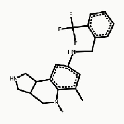 Cc1cc(NCc2ccccc2C(F)(F)F)cc2c1N(C)CC1CNCC21